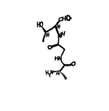 C[C@H](N)C(=O)NCC(=O)N[C@H]([C]=O)[C@@H](C)O